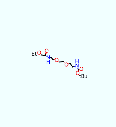 CCOCC(=O)NCCOCCOCCNC(=O)OC(C)(C)C